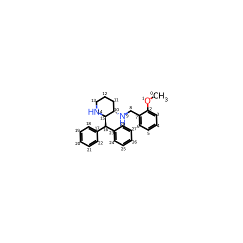 COc1ccccc1CN[C@H]1CCCN[C@@H]1C(c1ccccc1)c1ccccc1